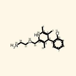 CC1=C(C)C(c2ccccc2Cl)C(C)=C(COCCN)N1